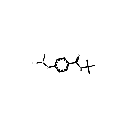 CC(C)(C)NC(=O)c1ccc(OB(O)O)cc1